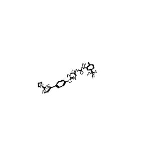 Cc1ccc(C(F)(F)F)cc1NC(=O)Nc1cnc(Oc2ccc(-c3cnc(N4CCC4)s3)cc2)nc1